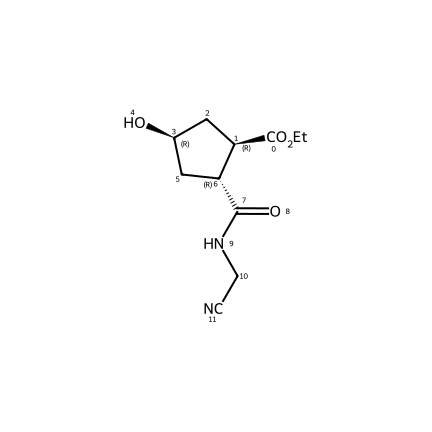 CCOC(=O)[C@@H]1C[C@H](O)C[C@H]1C(=O)NCC#N